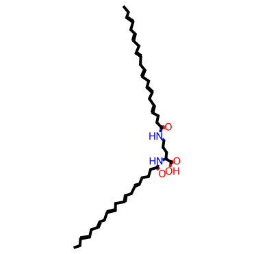 CCC=CCC=CCC=CCC=CCC=CCC=CCCC(=O)NCCCC(NC(=O)CCCC=CCC=CCC=CCC=CCC=CCC)C(=O)O